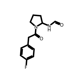 O=CNC1CCCN1C(=O)Cc1ccc(F)cc1